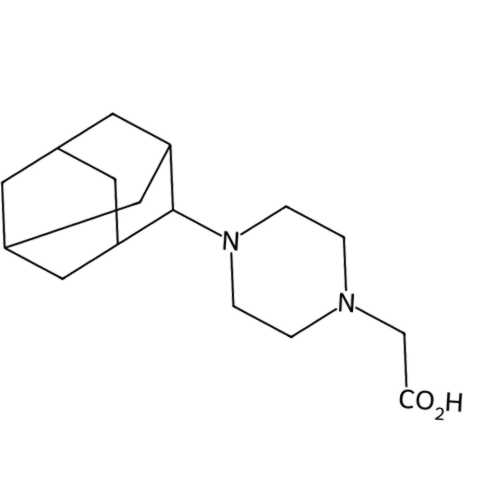 O=C(O)CN1CCN(C2C3CC4CC(C3)CC2C4)CC1